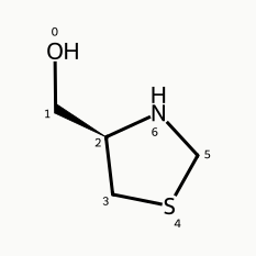 OC[C@@H]1CSCN1